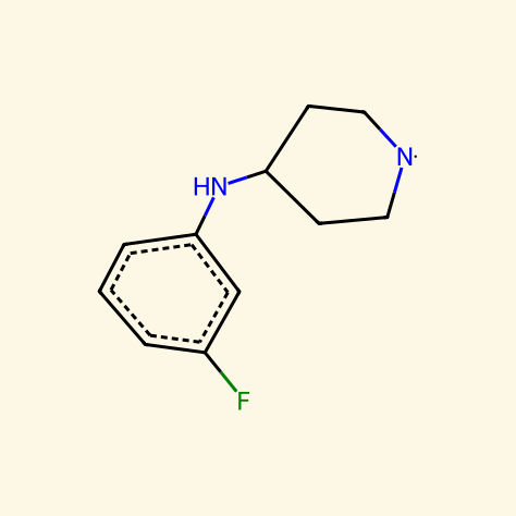 Fc1cccc(NC2CC[N]CC2)c1